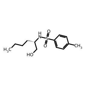 CCCC[C@@H](CO)NS(=O)(=O)c1ccc(C)cc1